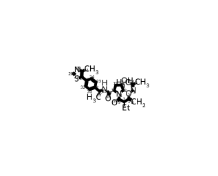 C=C(ON=C(C)C)[C@@H](CC)C(=O)N1C[C@H](O)C[C@H]1C(=O)N[C@@H](C)c1ccc(-c2scnc2C)cc1